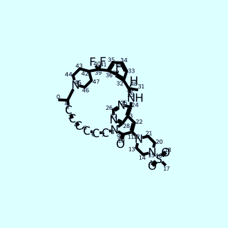 CC1CCCCCCn2c(=O)c(N3CCN(S(C)(=O)=O)CC3)cc3c(ncnc32)N[C@H](C)c2cccc(c2F)C(F)(F)C2CCN1CC2